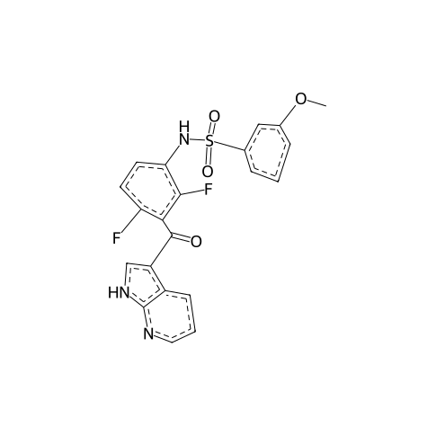 COc1cccc(S(=O)(=O)Nc2ccc(F)c(C(=O)c3c[nH]c4ncccc34)c2F)c1